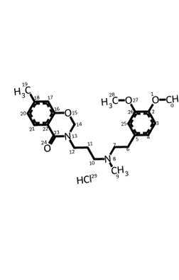 COc1ccc(CCN(C)CCCN2COc3cc(C)ccc3C2=O)cc1OC.Cl